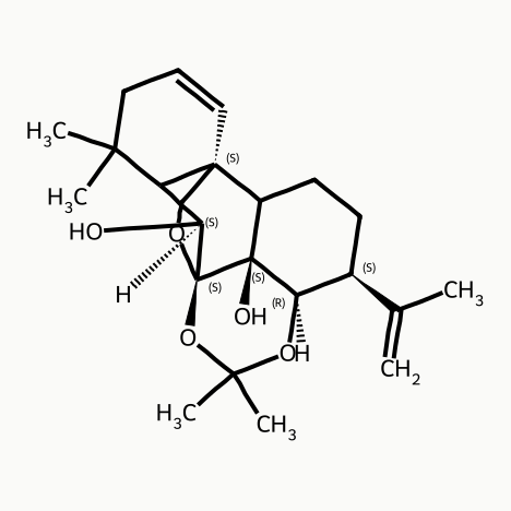 C=C(C)[C@@H]1CCC2[C@]34C=CCC(C)(C)C3[C@H](O)[C@]3(OC4)OC(C)(C)O[C@H]1[C@@]23O